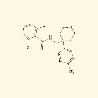 O=C(NCC1(c2cnc(C(F)(F)F)nc2)CCOCC1)c1c(F)cccc1Cl